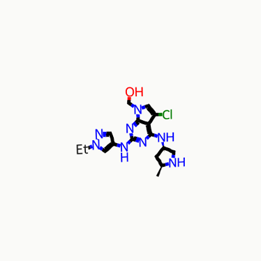 CCn1cc(Nc2nc(N[C@H]3CN[C@@H](C)C3)c3c(Cl)cn(CO)c3n2)cn1